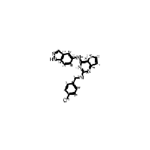 Clc1ccc(CNc2nc(Nc3ccc4[nH]ncc4c3)c3sccc3n2)cc1